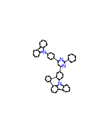 c1ccc(-c2nc(-c3ccc(-n4c5ccccc5c5ccccc54)cc3)cc(-c3ccc4c(c3)-c3ccccc3-c3cccc5c6ccccc6n-4c35)n2)cc1